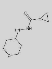 O=C(NNC1CCOCC1)C1CC1